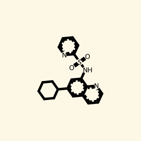 O=S(=O)(Nc1cc(C2CCCCC2)cc2cccnc12)c1ccccn1